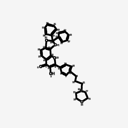 O=c1c(O)c(-c2ccc(CCCN3CCOCC3)cc2)oc2c3c(ccc12)OC(c1ccccc1)(c1ccccc1)O3